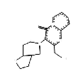 CCc1nc2ccccn2c(=O)c1N1CCC2NCCC2C1